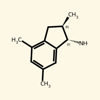 Cc1cc(C)c2c(c1)[C@@H]([NH])[C@H](C)C2